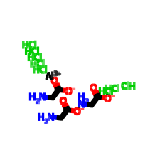 Cl.Cl.Cl.Cl.Cl.Cl.Cl.Cl.NCC(=O)[O-].NCC(=O)[O-].NCC(=O)[O-].[Al+3]